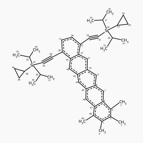 Cc1c(C)c(C)c2cc3cc4cc5c(C#C[Si](C(C)C)(C(C)C)C6CC6)ccc(C#C[Si](C(C)C)(C(C)C)C6CC6)c5cc4cc3cc2c1C